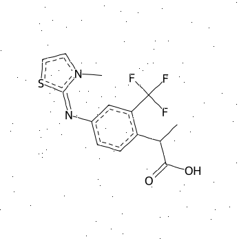 CC(C(=O)O)c1ccc(N=c2sccn2C)cc1C(F)(F)F